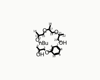 CC(O)COc1ccccc1.CCCCOC(C)COC(C)COC(C)CO